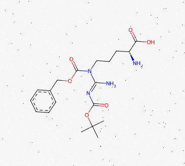 CC(C)(C)OC(=O)N=C(N)N(CCC[C@H](N)C(=O)O)C(=O)OCc1ccccc1